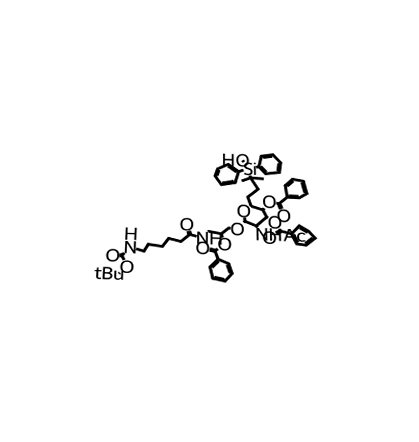 CC(=O)NC1C(OCC(CNC(=O)CCCCCNC(=O)OC(C)(C)C)OC(=O)c2ccccc2)OC(CCC(C)(C)[Si](O)(c2ccccc2)c2ccccc2)C(OC(=O)c2ccccc2)C1OC(=O)c1ccccc1